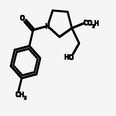 Cc1ccc(C(=O)N2CCC(CO)(C(=O)O)C2)cc1